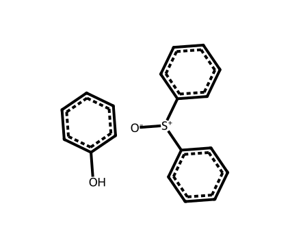 Oc1ccccc1.[O-][S+](c1ccccc1)c1ccccc1